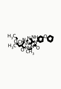 CCOC(C)(C)C=C(C#N)C(=O)N[C@@H](C)Cn1c(=O)n(-c2ccc(Oc3ccccc3)cc2)c2c(N)ncnc21